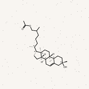 CC(=O)OCC(C)CCC[C@@H](C)[C@H]1CC[C@H]2[C@@H]3CC=C4C[C@@](C)(O)CC[C@]4(C)[C@H]3CC[C@]12C